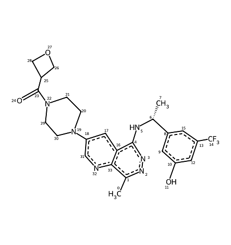 Cc1nnc(N[C@H](C)c2cc(O)cc(C(F)(F)F)c2)c2cc(N3CCN(C(=O)C4COC4)CC3)cnc12